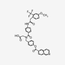 COc1ccc(CC(=O)Nc2ccc(C(=O)N(CC(=O)O)Cc3ccc(OC(=O)c4ccc5cnccc5c4)cc3)cc2)c(C(F)(F)F)c1